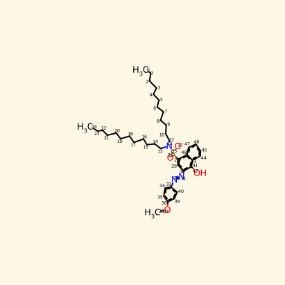 CCCCCCCCCCCCN(CCCCCCCCCCCC)S(=O)(=O)c1cc(N=Nc2ccc(OC)cc2)c(O)c2ccccc12